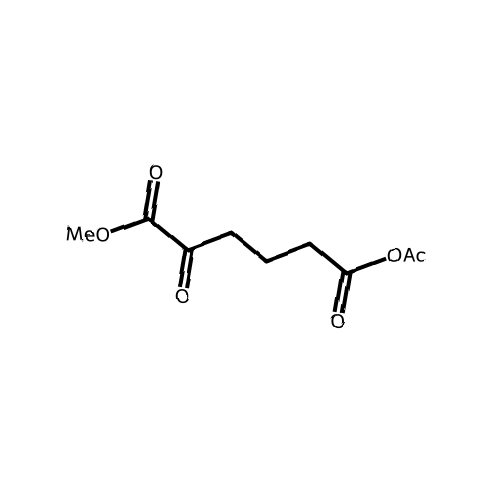 COC(=O)C(=O)CCCC(=O)OC(C)=O